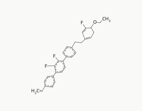 C=Cc1ccc(-c2ccc(-c3ccc(CCC4=CCC(OCC)C(F)=C4)cc3)c(F)c2F)cc1